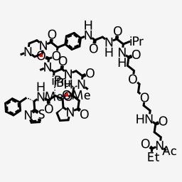 CCC(=O)N(CCC(=O)NCCOCCOCCC(=O)NC(C(=O)NCC(=O)Nc1ccc(C(OC(=O)N(C)C(C(=O)NCC(=O)N(C)[C@@H]([C@@H](C)CC)[C@@H](CC(=O)N2CCC[C@H]2[C@H](OC)[C@@H](C)C(=O)N[C@@H](Cc2ccccc2)c2nccs2)OC)C(C)C)C(=O)N2CCN(C)CC2)cc1)C(C)C)C(C)=O